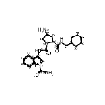 NC(=O)n1cc(NC(=O)N2C[C@@H](N)C[C@H]2C(=O)NCC2CCCCC2)c2ccccc21